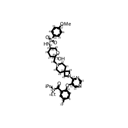 CCN(C(=O)c1cc(F)ccc1Oc1cncnc1N1CC2(CCN(C[C@@]3(O)CC[C@@H](NS(=O)(=O)c4ccc(OC)cc4)CO3)CC2)C1)C(C)C